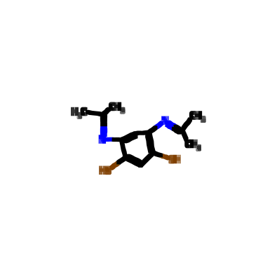 CC(C)=Nc1cc(N=C(C)C)c(S)cc1S